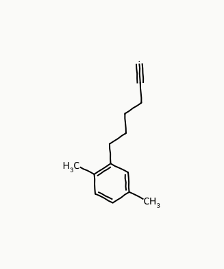 [C]#CCCCCc1cc(C)ccc1C